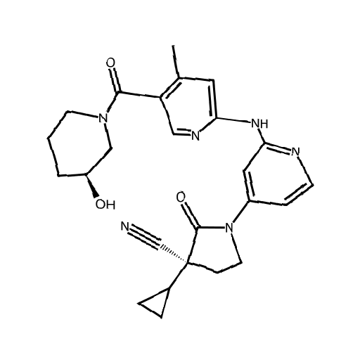 Cc1cc(Nc2cc(N3CC[C@@](C#N)(C4CC4)C3=O)ccn2)ncc1C(=O)N1CCC[C@H](O)C1